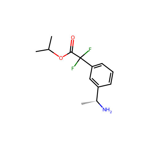 CC(C)OC(=O)C(F)(F)c1cccc([C@@H](C)N)c1